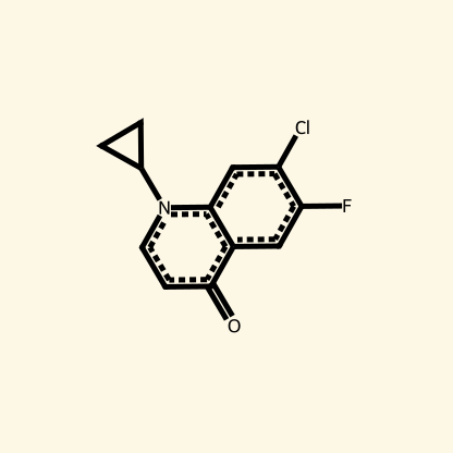 O=c1ccn(C2CC2)c2cc(Cl)c(F)cc12